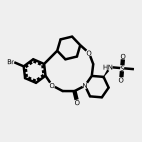 CS(=O)(=O)N[C@H]1CCCN2C(=O)COc3ccc(Br)cc3C3CCC(CC3)OCC12